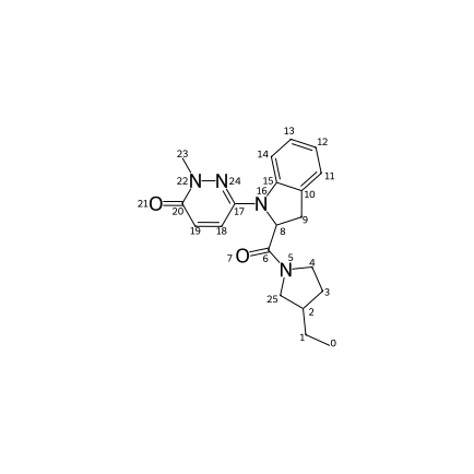 CCC1CCN(C(=O)C2Cc3ccccc3N2c2ccc(=O)n(C)n2)C1